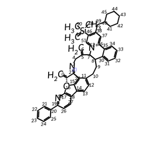 C=C/C1=N/CC(=C)C2C(CCc3ccc4c(oc5nc(-c6ccccc6)ccc54)c31)c1ccccc1-c1cc(CC3CCCCC3)c([Si](C)(C)C)c[n+]12